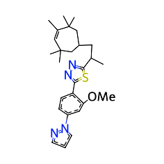 COc1cc(-n2cccn2)ccc1-c1nnc(C(C)CC2CC(C)(C)C=C(C)C(C)(C)C2)s1